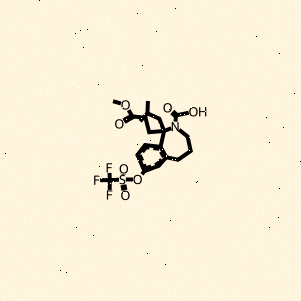 COC(=O)CCC1(CC(C)C)c2ccc(OS(=O)(=O)C(F)(F)F)cc2CCCN1C(=O)O